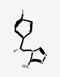 C[C@H](c1ccc(F)cc1)n1cnnc1C=O